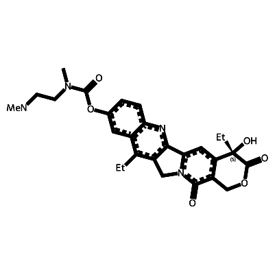 CCc1c2c(nc3ccc(OC(=O)N(C)CCNC)cc13)-c1cc3c(c(=O)n1C2)COC(=O)[C@]3(O)CC